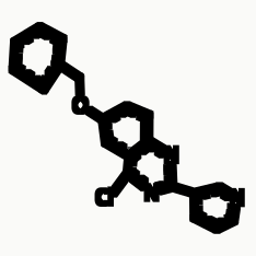 Clc1nc(-c2cccnc2)nc2ccc(OCc3ccccc3)cc12